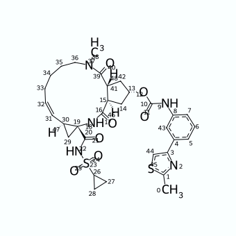 Cc1nc(-c2cccc(NC(=O)O[C@@H]3C[C@H]4C(=O)N[C@]5(C(=O)NS(=O)(=O)C6CC6)C[C@H]5/C=C\CCCCN(C)C(=O)[C@@H]4C3)c2)cs1